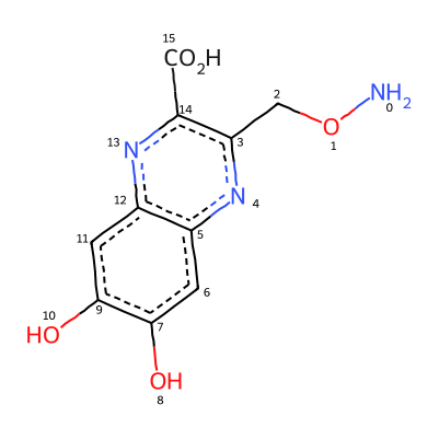 NOCc1nc2cc(O)c(O)cc2nc1C(=O)O